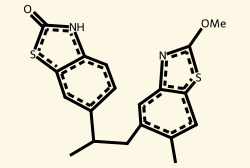 COc1nc2cc(CC(C)c3ccc4[nH]c(=O)sc4c3)c(C)cc2s1